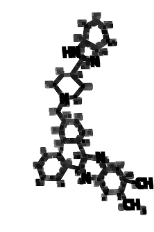 Cc1cc2nc(-c3ccccc3)c(-c3ccc(CN4CCC(c5nc6ccccc6[nH]5)CC4)cc3)nc2cc1C